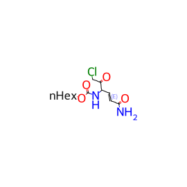 CCCCCCOC(=O)NC(/C=C/C(N)=O)C(=O)CCl